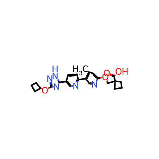 Cc1cc(OCC2(C(=O)O)CCC2)ncc1-c1ccc(-c2nc(OC3CCC3)n[nH]2)cn1